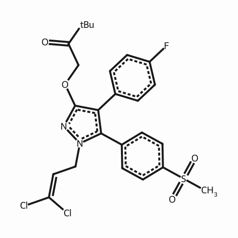 CC(C)(C)C(=O)COc1nn(CC=C(Cl)Cl)c(-c2ccc(S(C)(=O)=O)cc2)c1-c1ccc(F)cc1